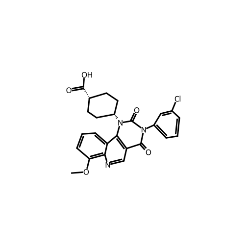 COc1cccc2c1ncc1c(=O)n(-c3cccc(Cl)c3)c(=O)n([C@H]3CC[C@@H](C(=O)O)CC3)c12